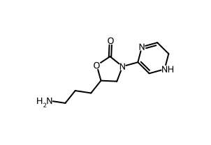 NCCCC1CN(C2=CNCC=N2)C(=O)O1